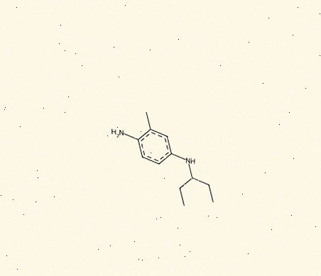 CCC(CC)Nc1ccc(N)c(C)c1